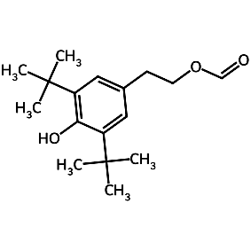 CC(C)(C)c1cc(CCOC=O)cc(C(C)(C)C)c1O